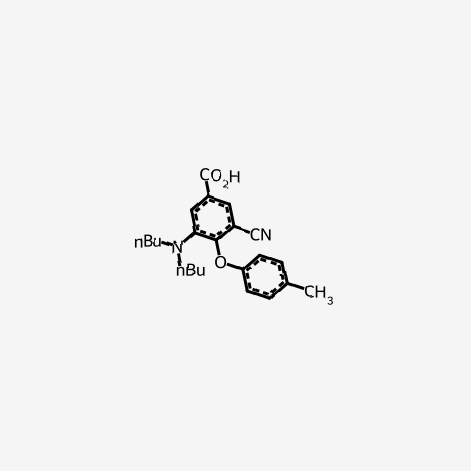 CCCCN(CCCC)c1cc(C(=O)O)cc(C#N)c1Oc1ccc(C)cc1